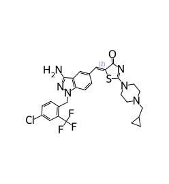 Nc1nn(Cc2ccc(Cl)cc2C(F)(F)F)c2ccc(/C=C3\SC(N4CCN(CC5CC5)CC4)=NC3=O)cc12